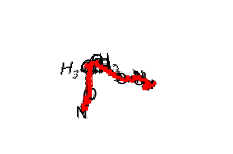 CCC(C)(CC(C)(C)C(=O)OCCCCCCCCCCCOc1ccc(-c2ccc(-c3nnc(-c4ccc5c(c4)c4ccccc4n5-c4ccccc4)o3)cc2)cc1)C(=O)OCCCCCCCCCCCOc1ccc(-c2ccc(C#N)cc2)cc1